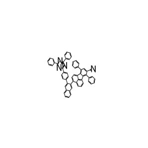 N#Cc1cc(-c2ccccc2)c2c(c1-c1ccccc1)-c1cccc3c(-c4cc5ccccc5cc4-c4ccc(-c5nc(-c6ccccc6)nc(-c6ccccc6)n5)cc4)ccc-2c13